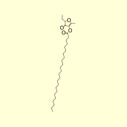 CCCCCCCCCCCCCCCCCCCCCCCC(=O)OC1=C(C)OC(CC)C1=O